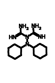 N=C(N)N(C(=N)N)N(C1CCCCC1)C1CCCCC1